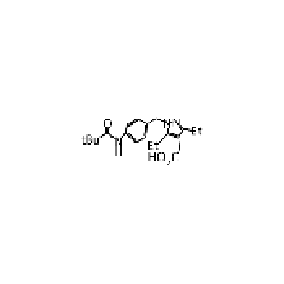 CCc1nn(Cc2ccc(NC(=O)C(C)(C)C)cc2)c(CC)c1CC(=O)O